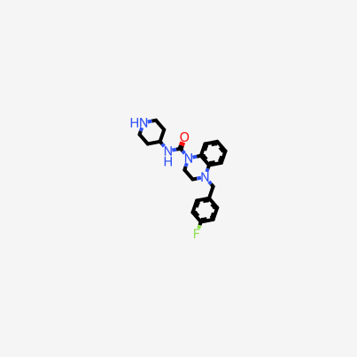 O=C(NC1CCNCC1)N1CCN(Cc2ccc(F)cc2)c2ccccc21